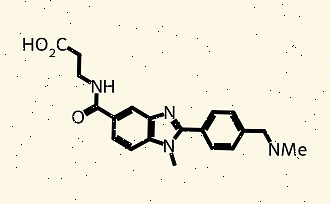 CNCc1ccc(-c2nc3cc(C(=O)NCCC(=O)O)ccc3n2C)cc1